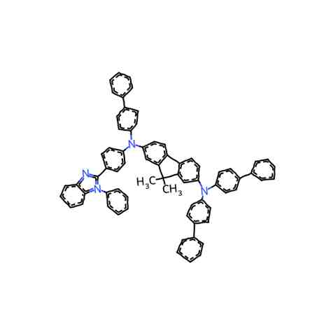 CC1(C)c2cc(N(c3ccc(-c4ccccc4)cc3)c3ccc(-c4ccccc4)cc3)ccc2-c2ccc(N(c3ccc(-c4ccccc4)cc3)c3ccc(-c4nc5ccccc5n4-c4ccccc4)cc3)cc21